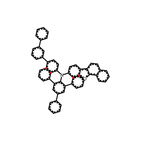 c1ccc(-c2cccc(-c3ccc(N(c4ccc5c(c4)oc4c6ccccc6ccc54)c4c(-c5ccccc5)cc(-c5ccccc5)cc4-c4ccccc4)cc3)c2)cc1